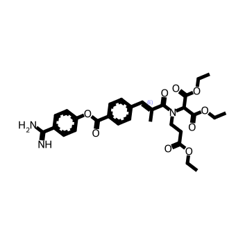 CCOC(=O)CCN(C(=O)/C(C)=C/c1ccc(C(=O)Oc2ccc(C(=N)N)cc2)cc1)C(C(=O)OCC)C(=O)OCC